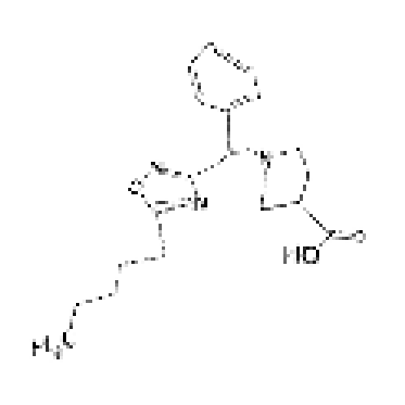 CCCCCc1nc(C(c2ccccc2)N2CCC(C(=O)O)C2)no1